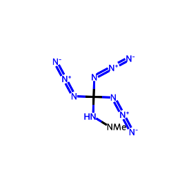 CNNC(N=[N+]=[N-])(N=[N+]=[N-])N=[N+]=[N-]